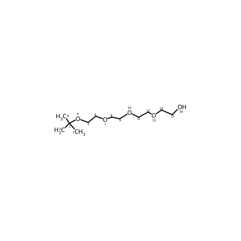 CC(C)(C)OCCOCCOCCOCCO